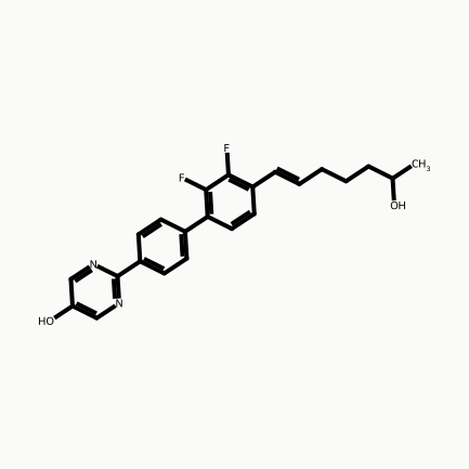 CC(O)CCCC=Cc1ccc(-c2ccc(-c3ncc(O)cn3)cc2)c(F)c1F